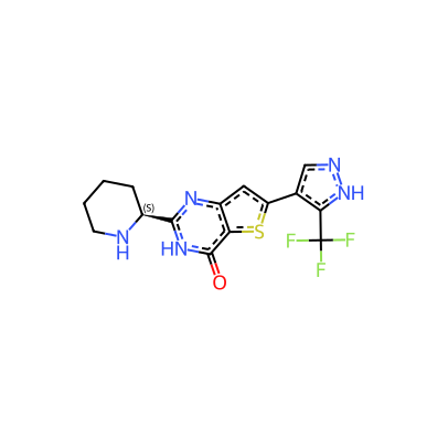 O=c1[nH]c([C@@H]2CCCCN2)nc2cc(-c3cn[nH]c3C(F)(F)F)sc12